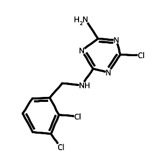 Nc1nc(Cl)nc(NCc2cccc(Cl)c2Cl)n1